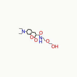 CCN(CC)c1ccc2cc(C(=O)NCCOCCO)c(=O)oc2c1